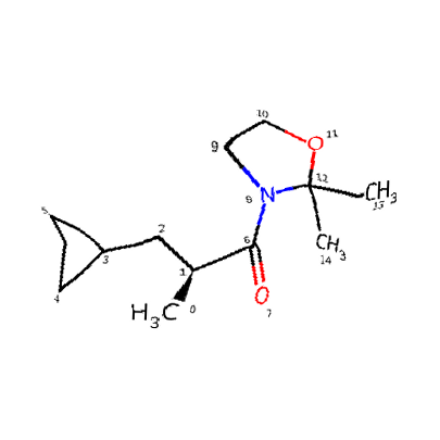 C[C@@H](CC1CC1)C(=O)N1CCOC1(C)C